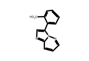 O=C(O)c1ccccc1-c1cnc2cccnn12